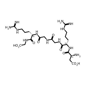 N=C(N)NCCC[C@H](NC(=O)CNC(=O)CNC(=O)[C@H](CCCNC(=N)N)NC(=O)[C@@H](N)CC(=O)O)C(=O)NCC(=O)O